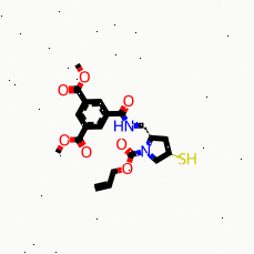 C=CCOC(=O)N1C[C@@H](S)C[C@H]1CNC(=O)c1cc(C(=O)OC)cc(C(=O)OC)c1